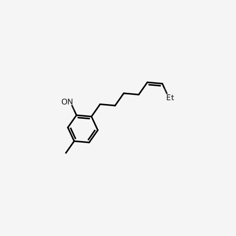 CC/C=C\CCCCc1ccc(C)cc1N=O